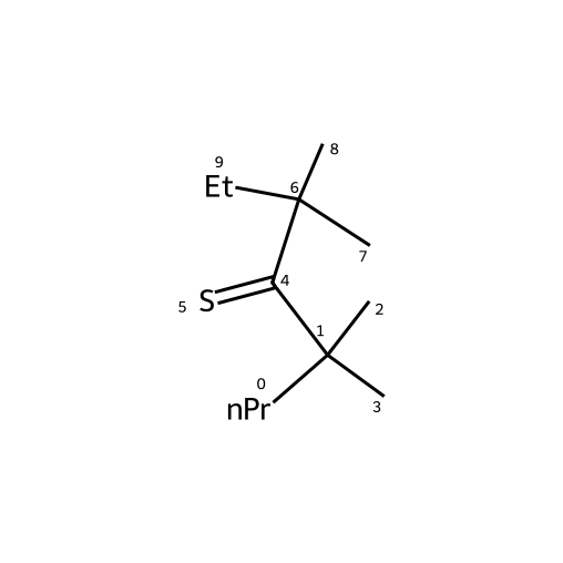 CCCC(C)(C)C(=S)C(C)(C)CC